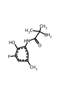 BC(C)(C)C(=O)Nc1cc(C)cc(F)c1O